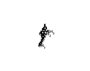 CC/C=C(\c1ccc(F)cc1F)c1ccc(=O)n(-c2ccc(OCCCOSC)cc2)c1N